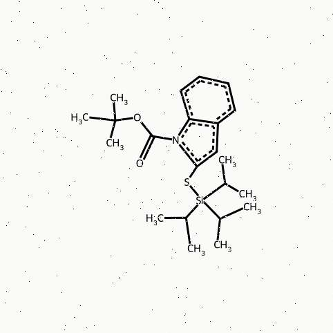 CC(C)[Si](Sc1cc2ccccc2n1C(=O)OC(C)(C)C)(C(C)C)C(C)C